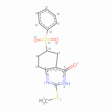 CSc1nc2c(c(=O)[nH]1)CC(S(=O)(=O)c1ccccc1)CC2